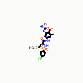 Cc1cc(NC(=O)[C@H](CCC(=O)O)NS(=O)(=O)c2ccc(Cl)cc2)cc2nc(NC(C)C)oc(=O)c12